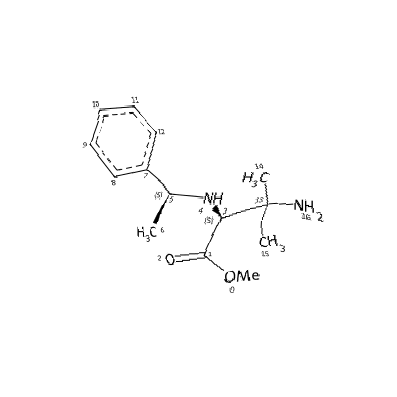 COC(=O)[C@@H](N[C@@H](C)c1ccccc1)C(C)(C)N